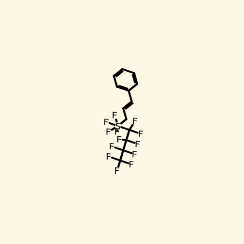 FC(F)(F)C(F)(F)C(F)(F)C(F)(F)S(F)(F)(F)(F)CC=Cc1ccccc1